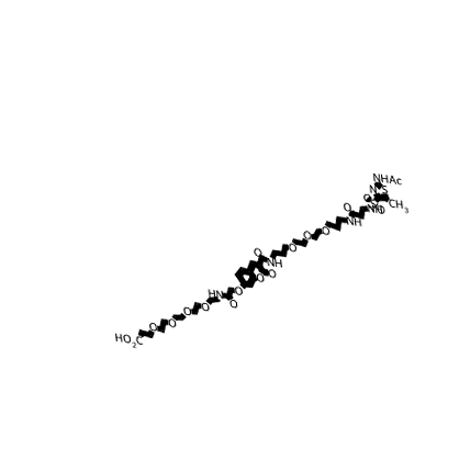 CC(=O)Nc1nc(S(=O)(=O)NCCC(=O)NCCCOCCOCCOCCCNC(=O)c2cc3ccc(OCC(=O)NCCOCCOCCOCCOCCC(=O)O)cc3oc2=O)c(C)s1